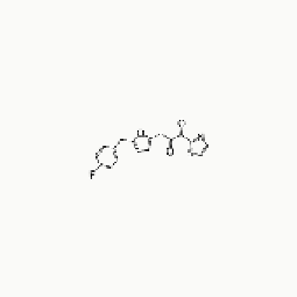 O=C(Cc1ccc(Cc2ccc(F)cc2)o1)C(=O)c1nccs1